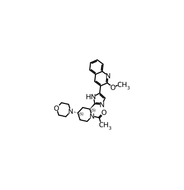 COc1nc2ccccc2cc1-c1cnc([C@@H]2C[C@@H](N3CCOCC3)CCN2C(C)=O)[nH]1